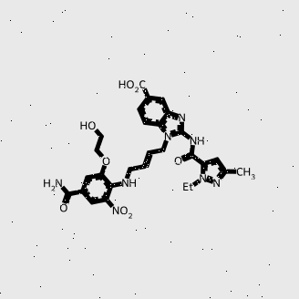 CCn1nc(C)cc1C(=O)Nc1nc2cc(C(=O)O)ccc2n1C/C=C/CNc1c(OCCO)cc(C(N)=O)cc1[N+](=O)[O-]